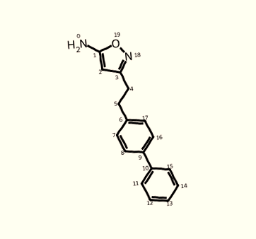 Nc1cc(CCc2ccc(-c3ccccc3)cc2)no1